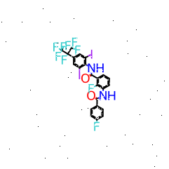 O=C(Nc1cccc(C(=O)Nc2c(I)cc(C(F)(C(F)(F)F)C(F)(F)F)cc2I)c1F)c1ccc(F)cc1